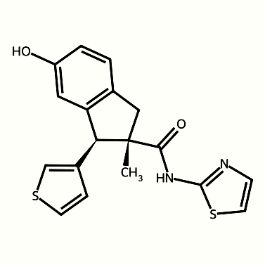 C[C@]1(C(=O)Nc2nccs2)Cc2ccc(O)cc2[C@@H]1c1ccsc1